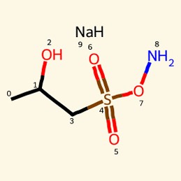 CC(O)CS(=O)(=O)ON.[NaH]